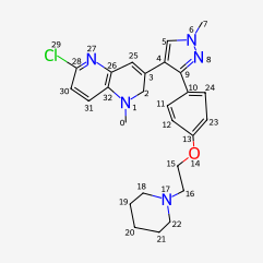 CN1CC(c2cn(C)nc2-c2ccc(OCCN3CCCCC3)cc2)=Cc2nc(Cl)ccc21